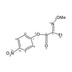 CCC(=NOC)C(=O)Oc1ccc([N+](=O)[O-])cc1